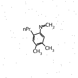 C=Nc1cc(C)c(C)cc1CCC